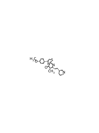 COc1ccc(-c2csc3nc(/C=C/c4cccnc4)c(C)c(=O)n23)cc1